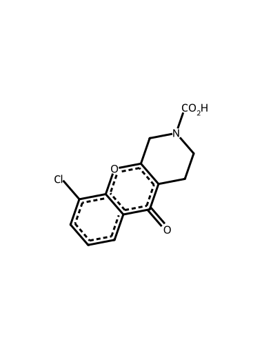 O=C(O)N1CCc2c(oc3c(Cl)cccc3c2=O)C1